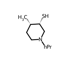 CCCN1CC[C@H](C)[C@H](S)C1